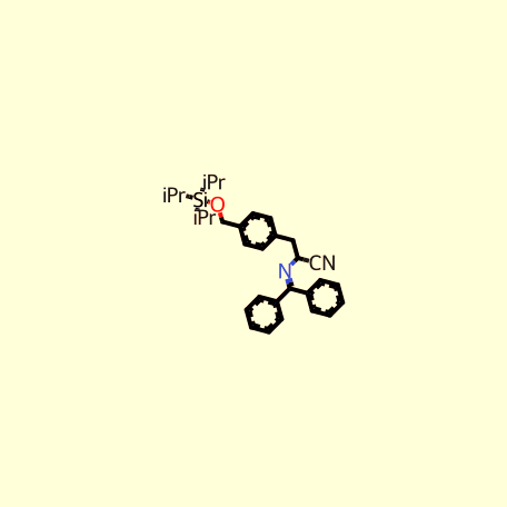 CC(C)[Si](OCc1ccc(CC(C#N)N=C(c2ccccc2)c2ccccc2)cc1)(C(C)C)C(C)C